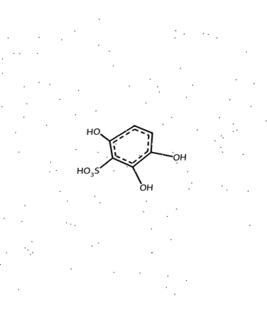 O=S(=O)(O)c1c(O)ccc(O)c1O